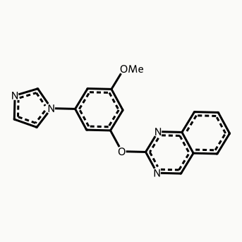 COc1cc(Oc2ncc3ccccc3n2)cc(-n2ccnc2)c1